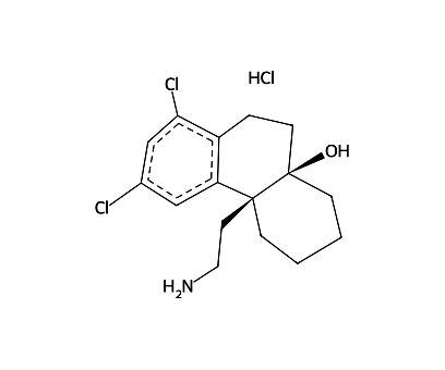 Cl.NCC[C@]12CCCC[C@@]1(O)CCc1c(Cl)cc(Cl)cc12